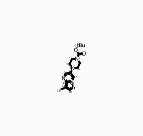 CC(C)(C)OC(=O)N1CCN(c2cnc3c(I)cnn3c2)CC1